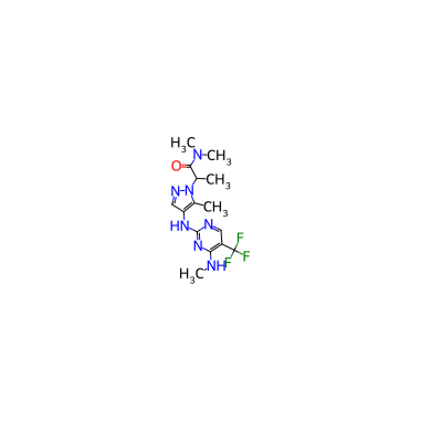 CNc1nc(Nc2cnn(C(C)C(=O)N(C)C)c2C)ncc1C(F)(F)F